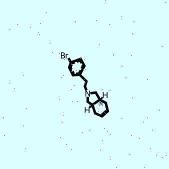 Brc1ccc(CCN2C[C@H]3CC=CC[C@H]3C2)cc1